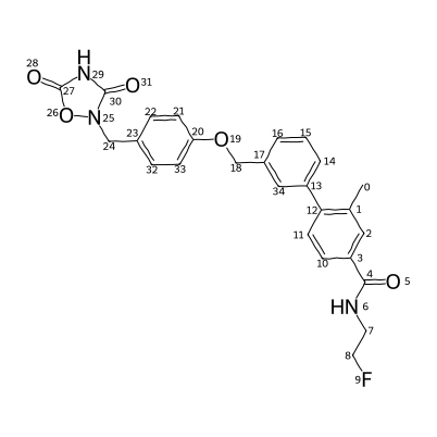 Cc1cc(C(=O)NCCF)ccc1-c1cccc(COc2ccc(Cn3oc(=O)[nH]c3=O)cc2)c1